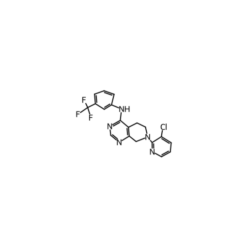 FC(F)(F)c1cccc(Nc2ncnc3c2CCN(c2ncccc2Cl)C3)c1